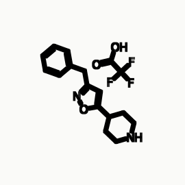 O=C(O)C(F)(F)F.c1ccc(Cc2cc(C3CCNCC3)on2)cc1